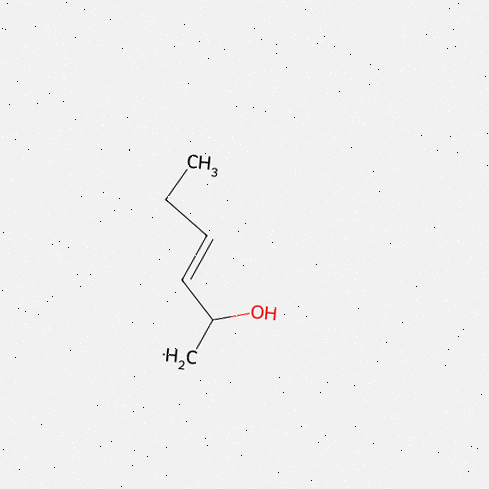 [CH2]C(O)/C=C/CC